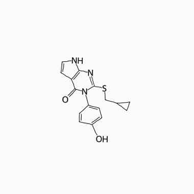 O=c1c2cc[nH]c2nc(SCC2CC2)n1-c1ccc(O)cc1